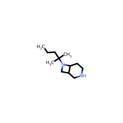 CCCC(C)(C)N1CC2CNCCC21